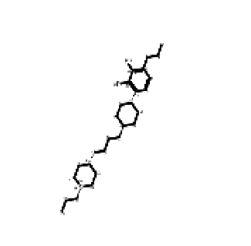 CCCc1ccc([C@H]2CC[C@H](CCCC[C@H]3CC[Si@H](CCC)CC3)CC2)c(F)c1F